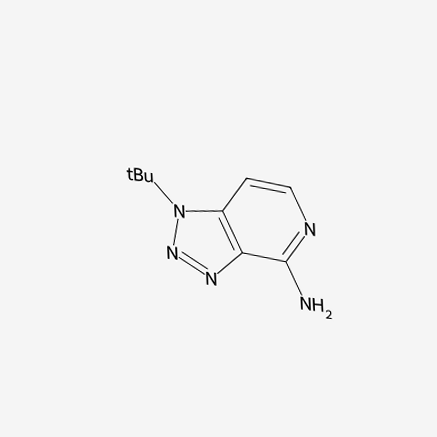 CC(C)(C)n1nnc2c(N)nccc21